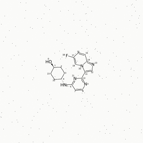 O[C@H]1CC[C@H](Nc2ccnc(-c3cnc4ccc(F)cn34)n2)CC1